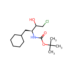 CC(C)(C)OC(=O)N[C@@H](CC1CCCCC1)C(O)CCl